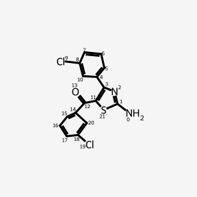 Nc1nc(-c2cccc(Cl)c2)c(C(=O)c2cccc(Cl)c2)s1